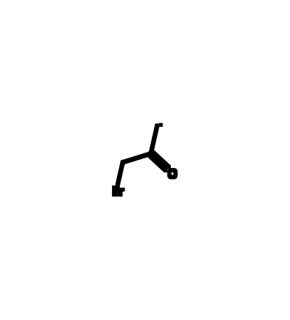 [CH2]C(=O)CBr